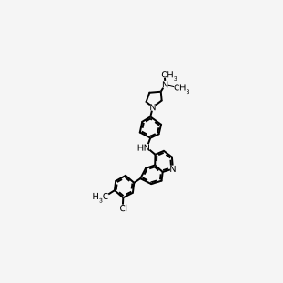 Cc1ccc(-c2ccc3nccc(Nc4ccc(N5CCC(N(C)C)C5)cc4)c3c2)cc1Cl